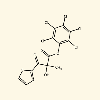 CC(O)(C(=O)c1cccs1)C(=S)Oc1c(Cl)c(Cl)c(Cl)c(Cl)c1Cl